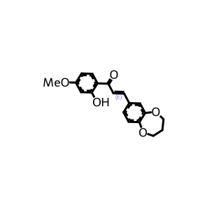 COc1ccc(C(=O)/C=C/c2ccc3c(c2)OCCCO3)c(O)c1